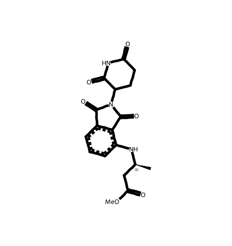 COC(=O)C[C@H](C)Nc1cccc2c1C(=O)N(C1CCC(=O)NC1=O)C2=O